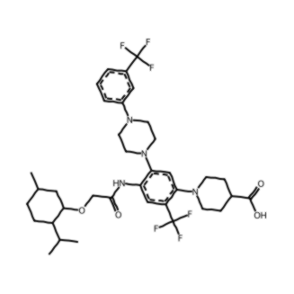 CC1CCC(C(C)C)C(OCC(=O)Nc2cc(C(F)(F)F)c(N3CCC(C(=O)O)CC3)cc2N2CCN(c3cccc(C(F)(F)F)c3)CC2)C1